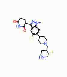 Cn1nc(C2CCC(=O)NC2=O)c2cc(F)c(C3CCN(C[C@H]4CCNC[C@H]4F)CC3)cc21